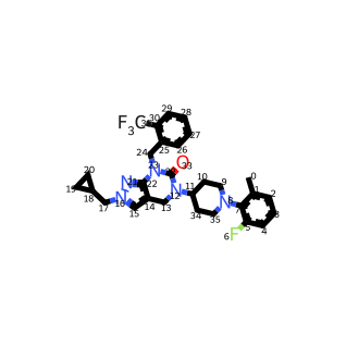 Cc1cccc(F)c1N1CCC(N2Cc3cn(CC4CC4)nc3N(Cc3ccccc3C(F)(F)F)C2=O)CC1